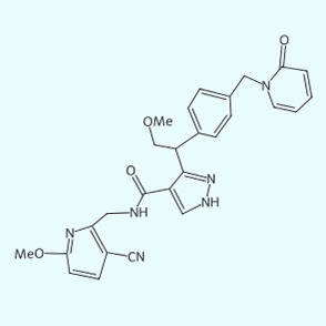 COCC(c1ccc(Cn2ccccc2=O)cc1)c1n[nH]cc1C(=O)NCc1nc(OC)ccc1C#N